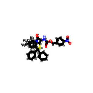 CC(C)(C)[Si](C)(C)N1C(=O)[C@@H](NC(=O)OCc2ccc([N+](=O)[O-])cc2)[C@H]1SC(c1ccccc1)(c1ccccc1)c1ccccc1